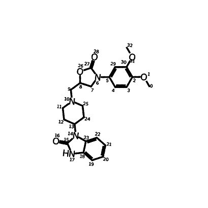 COc1ccc(N2CC(CN3CCC(n4c(=O)[nH]c5ccccc54)CC3)OC2=O)cc1OC